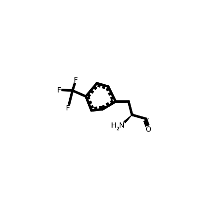 N[C@H]([C]=O)Cc1ccc(C(F)(F)F)cc1